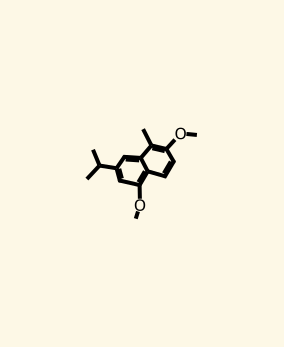 COc1ccc2c(OC)cc(C(C)C)cc2c1C